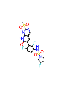 Cn1c(=O)c(-c2c(F)ccc(NS(=O)(=O)N3CC[C@@H](F)C3)c2F)cc2cnc(S(C)(=O)=O)nc21